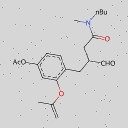 C=C(C)Oc1cc(OC(C)=O)ccc1CC(C=O)CC(=O)N(C)CCCC